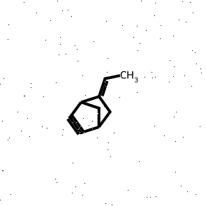 CC=C1CC2C#CC1C2